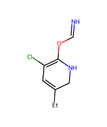 CCC1=CC(Cl)=C(OC=N)NC1